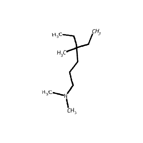 CCC(C)(CC)CCCN(C)C